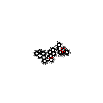 c1ccc(-c2ccccc2N(c2ccc3ccc4c(N(c5ccccc5-c5ccccc5)c5ccc6oc7cccc8ccc5c6c87)ccc5ccc2c3c54)c2ccc3oc4cccc5ccc2c3c54)cc1